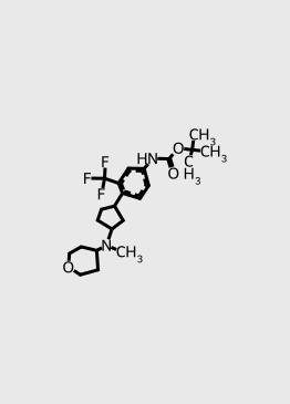 CN(C1CCOCC1)C1CCC(c2ccc(NC(=O)OC(C)(C)C)cc2C(F)(F)F)C1